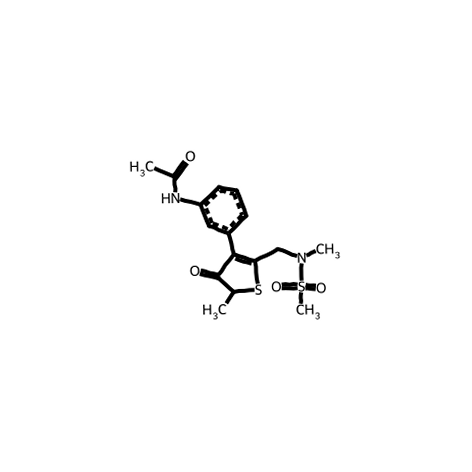 CC(=O)Nc1cccc(C2=C(CN(C)S(C)(=O)=O)SC(C)C2=O)c1